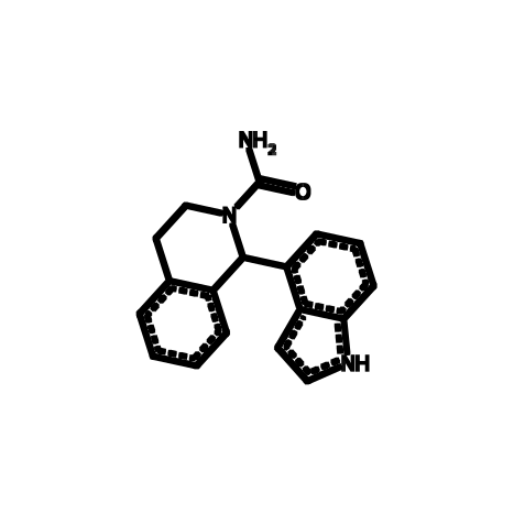 NC(=O)N1CCc2ccccc2C1c1cccc2[nH]ccc12